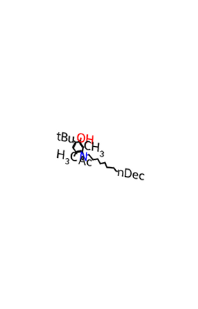 CCCCCCCCCCCCCCCCCCN(C(C)=O)c1c(C)cc(C(C)(C)C)c(O)c1C